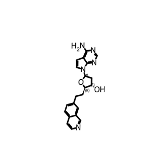 Nc1ncnc2c1ccn2[C@H]1C[C@H](O)[C@@H](CCc2ccc3ccncc3c2)O1